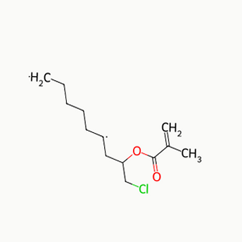 [CH2]CCCC[CH]CC(CCl)OC(=O)C(=C)C